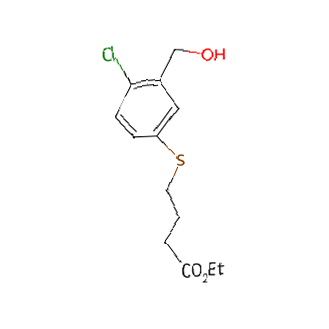 CCOC(=O)CCCSc1ccc(Cl)c(CO)c1